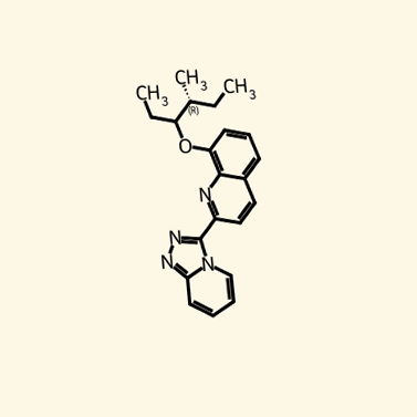 CCC(Oc1cccc2ccc(-c3nnc4ccccn34)nc12)[C@H](C)CC